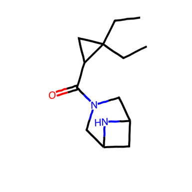 CCC1(CC)CC1C(=O)N1CC2CC(C1)N2